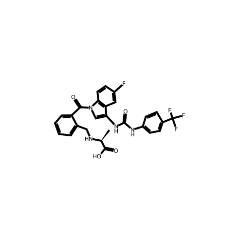 C[C@H](NCc1ccccc1C(=O)n1cc(NC(=O)Nc2ccc(C(F)(F)F)cc2)c2cc(F)ccc21)C(=O)O